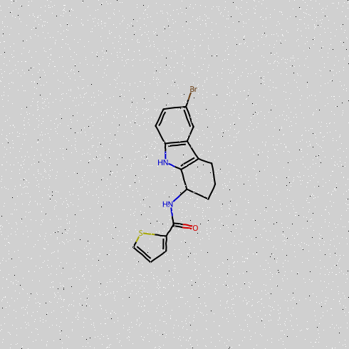 O=C(NC1CCCc2c1[nH]c1ccc(Br)cc21)c1cccs1